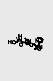 Cc1onc(-c2ccccn2)c1COc1cc(C(=O)N[C@@H](C)CO)n(C)n1